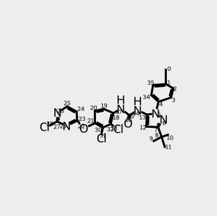 Cc1ccc(-n2nc(C(C)(C)C)cc2NC(=O)Nc2ccc(Oc3ccnc(Cl)n3)c(Cl)c2Cl)cc1